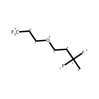 CC(F)(F)CCOCCC(F)(F)F